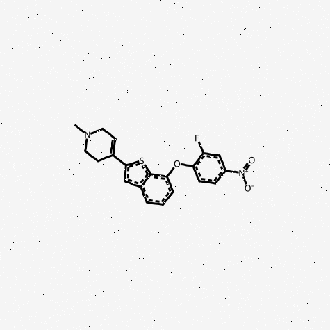 CN1CC=C(c2cc3cccc(Oc4ccc([N+](=O)[O-])cc4F)c3s2)CC1